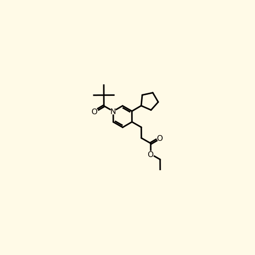 CCOC(=O)CCC1C=CN(C(=O)C(C)(C)C)C=C1C1CCCC1